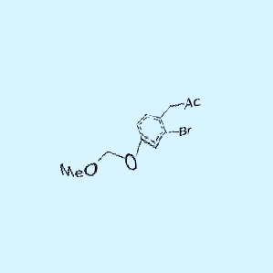 COCOc1ccc(CC(C)=O)c(Br)c1